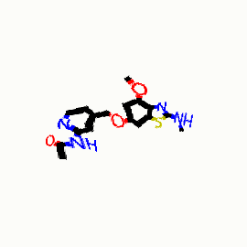 CNc1nc2c(OC)cc(OCc3ccnc(NC(C)=O)c3)cc2s1